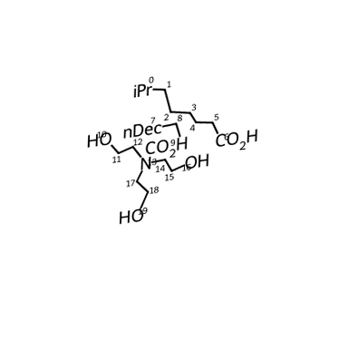 CC(C)CCCCCC(=O)O.CCCCCCCCCCCC(=O)O.OCCN(CCO)CCO